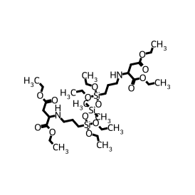 CCOC(=O)CC(NCCC[Si](OCC)(OCC)O[Si](C)(C)O[Si](CCCNC(CC(=O)OCC)C(=O)OCC)(OCC)OCC)C(=O)OCC